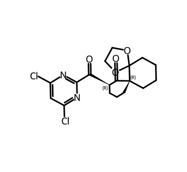 O=C(c1nc(Cl)cc(Cl)n1)[C@@H]1CCC[C@@]2(CCCCC23OCCO3)C1=O